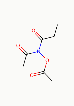 CCC(=O)N(OC(C)=O)C(C)=O